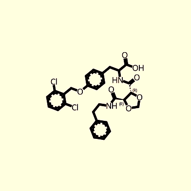 O=C(O)C(Cc1ccc(OCc2c(Cl)cccc2Cl)cc1)NC(=O)[C@@H]1OCO[C@H]1C(=O)NCCc1ccccc1